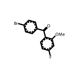 COc1cc(F)ccc1C(=O)c1ccc(Br)cc1